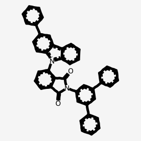 O=C1c2cccc(-n3c4ccccc4c4cc(-c5ccccc5)ccc43)c2C(=O)N1c1cc(-c2ccccc2)cc(-c2ccccc2)c1